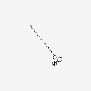 CCCCCCCCCCCCCCCCCCOC1C=CC=CC1=[N+]=[N-]